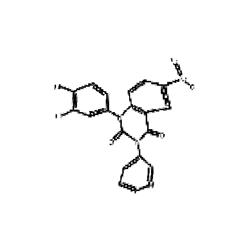 O=c1c2cc([N+](=O)[O-])ccc2n(-c2ccc(Cl)c(Cl)c2)c(=O)n1-c1cccnc1